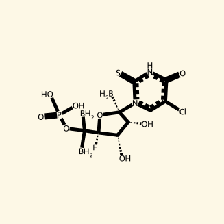 BC(B)(OP(=O)(O)O)[C@@]1(F)O[C@@](B)(n2cc(Cl)c(=O)[nH]c2=S)[C@H](O)[C@@H]1O